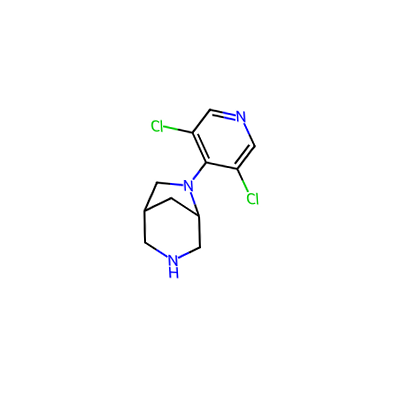 Clc1cncc(Cl)c1N1CC2CNCC1C2